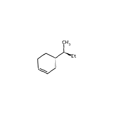 CC[C@H](C)[C@@H]1CC=CCC1